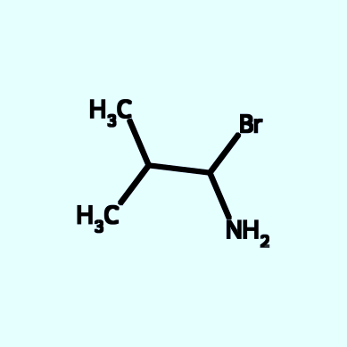 CC(C)C(N)Br